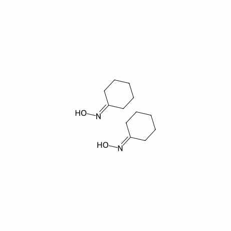 ON=C1CCCCC1.ON=C1CCCCC1